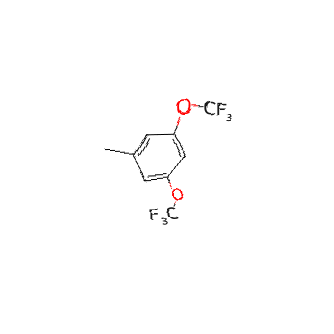 Cc1cc(OC(F)(F)F)cc(OC(F)(F)F)c1